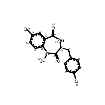 CN1C(=O)[C@H](Cc2ccc(Cl)cc2)NC(=O)c2cc(Cl)ccc21